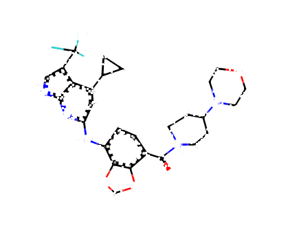 O=C(c1ccc(Nc2cc(C3CC3)c3c(C(F)(F)F)c[nH]c3n2)c2c1OCO2)N1CCC(N2CCOCC2)CC1